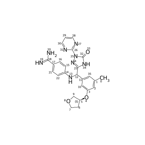 Cc1cc(O[C@H]2CCOC2)cc(C(Nc2ccc(C(=N)N)cc2)c2nn(-c3ncccn3)c(=O)[nH]2)c1